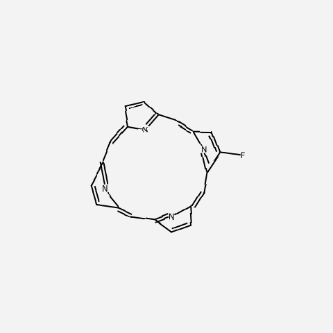 FC1=CC2=CC3=NC(=CC4=NC(=CC5=NC(=CC1=N2)C=C5)C=C4)C=C3